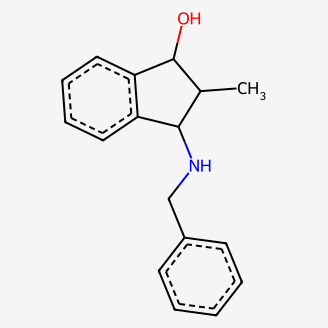 CC1C(O)c2ccccc2C1NCc1ccccc1